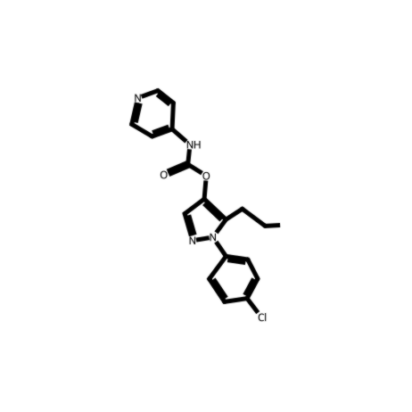 CCCc1c(OC(=O)Nc2ccncc2)cnn1-c1ccc(Cl)cc1